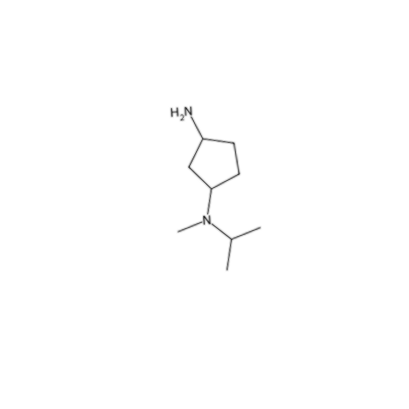 CC(C)N(C)C1CCC(N)C1